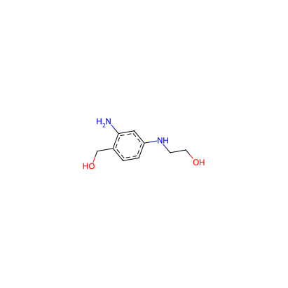 Nc1cc(NCCO)ccc1CO